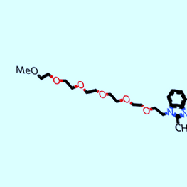 COCCOCCOCCOCCOCCOCCn1c(C)nc2ccccc21